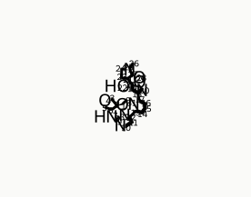 CO[C@@H]1COCC1Nc1nccc(-c2cccc(-c3cc([C@]4(O)CCN(C)C4=O)on3)n2)n1